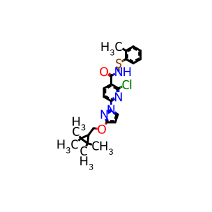 Cc1ccccc1SNC(=O)c1ccc(-n2ccc(OCC3C(C)(C)C3(C)C)n2)nc1Cl